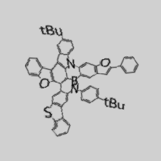 CC(C)(C)c1ccc(N2B3c4cc5cc(-c6ccccc6)oc5cc4-n4c5ccc(C(C)(C)C)cc5c5c6c(oc7ccccc76)c(c3c54)-c3cc4sc5ccccc5c4cc32)cc1